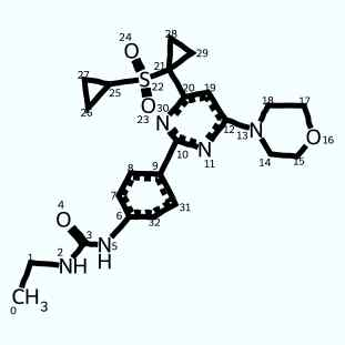 CCNC(=O)Nc1ccc(-c2nc(N3CCOCC3)cc(C3(S(=O)(=O)C4CC4)CC3)n2)cc1